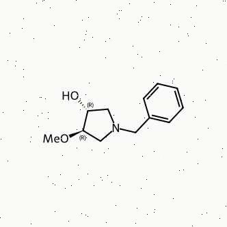 CO[C@@H]1CN(Cc2ccccc2)C[C@H]1O